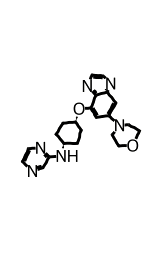 c1cnc(N[C@H]2CC[C@@H](Oc3cc(N4CCOCC4)cc4nccnc34)CC2)cn1